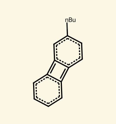 CCCCc1ccc2c(c1)=c1ccccc1=2